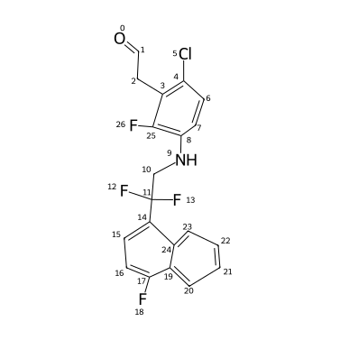 O=CCc1c(Cl)ccc(NCC(F)(F)c2ccc(F)c3ccccc23)c1F